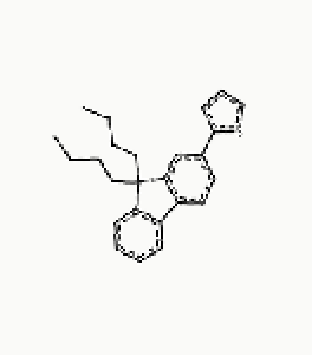 CCCCC1(CCCC)c2ccccc2-c2ccc(-c3cccs3)cc21